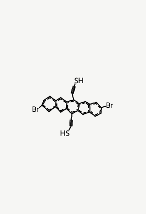 SC#Cc1c2cc3ccc(Br)cc3cc2c(C#CS)c2cc3ccc(Br)cc3cc12